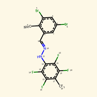 COc1c(Br)cc(Br)cc1/C=N/Nc1c(F)c(F)c(C(F)(F)F)c(F)c1F